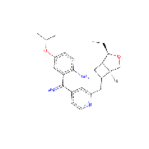 CC[C@H]1OC[C@H]2C(Cc3cc(C(=N)c4cc(OC(C)C)ccc4N)ccn3)CC21